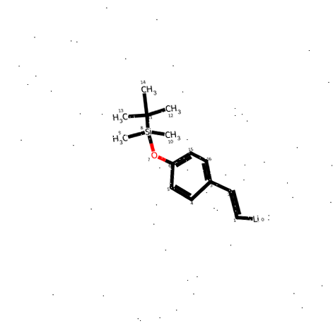 [Li]/[CH]=C/c1ccc(O[Si](C)(C)C(C)(C)C)cc1